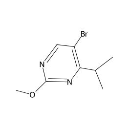 COc1ncc(Br)c(C(C)C)n1